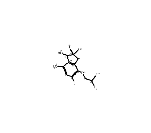 Cc1cc(I)c(OCC(F)F)c2c1C(O)C(F)(F)C2